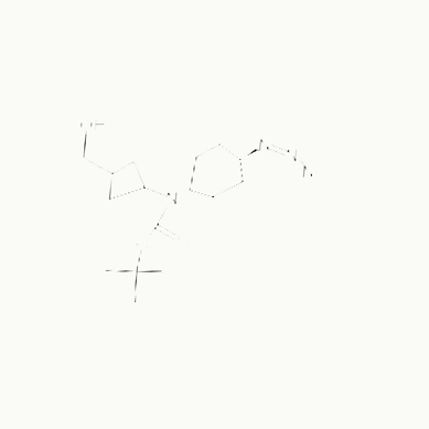 CC(C)(C)OC(=O)N(C1CC(CO)C1)[C@H]1CC[C@H](N=[N+]=[N-])CC1